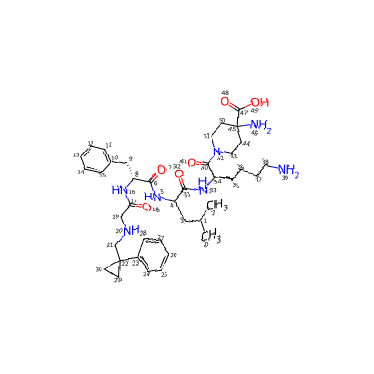 CC(C)CC(NC(=O)[C@@H](Cc1ccccc1)NC(=O)CNCC1(c2ccccc2)CC1)C(=O)N[C@H](CCCCN)C(=O)N1CCC(N)(C(=O)O)CC1